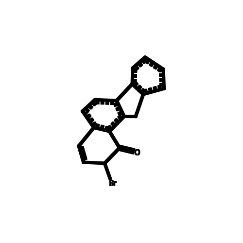 O=C1c2c(ccc3c2Cc2ccccc2-3)C=CC1Br